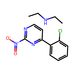 CCNCC.O=[N+]([O-])c1nccc(-c2ccccc2Cl)n1